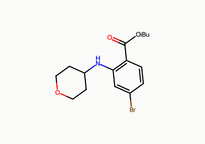 CC(C)COC(=O)c1ccc(Br)cc1NC1CCOCC1